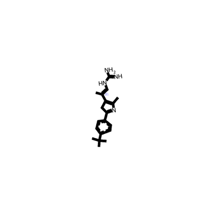 CC1=C(/C(C)=C/NC(=N)N)CC(c2ccc(C(C)(C)C)cc2)=N1